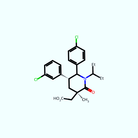 CCC(CC)N1C(=O)[C@@](C)(CC(=O)O)C[C@H](c2cccc(Cl)c2)C1c1ccc(Cl)cc1